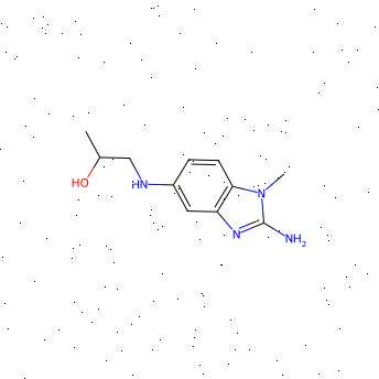 CC(O)CNc1ccc2c(c1)nc(N)n2C